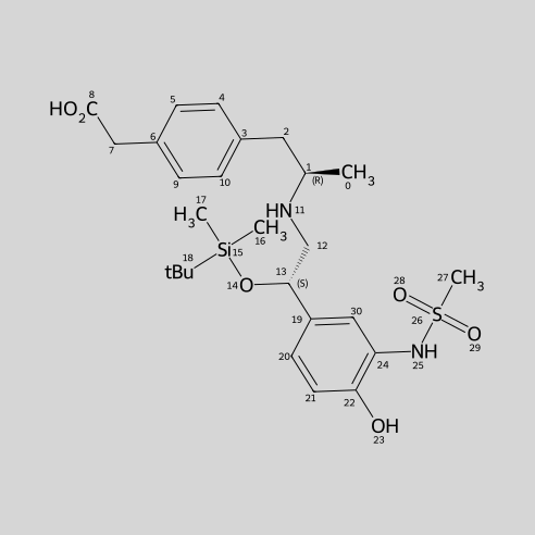 C[C@H](Cc1ccc(CC(=O)O)cc1)NC[C@@H](O[Si](C)(C)C(C)(C)C)c1ccc(O)c(NS(C)(=O)=O)c1